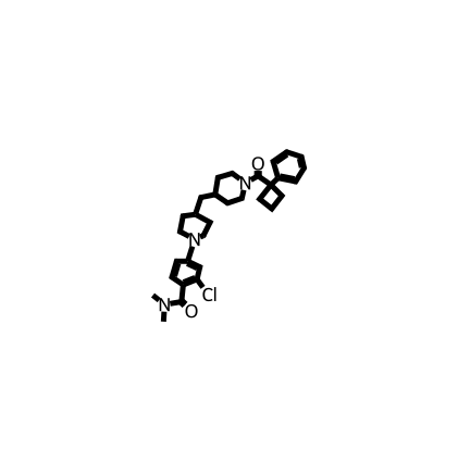 CN(C)C(=O)c1ccc(N2CCC(CC3CCN(C(=O)C4(c5ccccc5)CCC4)CC3)CC2)cc1Cl